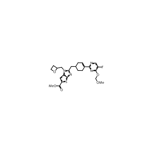 COCOc1nc(C2=CCC(Cc3nc4sc(C(=O)OC)cc4n3CC3CCO3)CC2)ncc1F